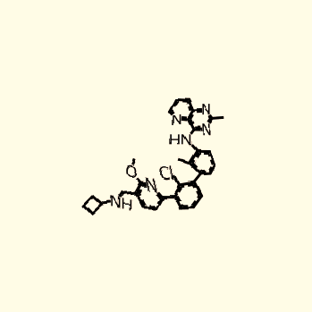 COc1nc(-c2cccc(-c3cccc(Nc4nc(C)nc5cccnc45)c3C)c2Cl)ccc1CNC1CCC1